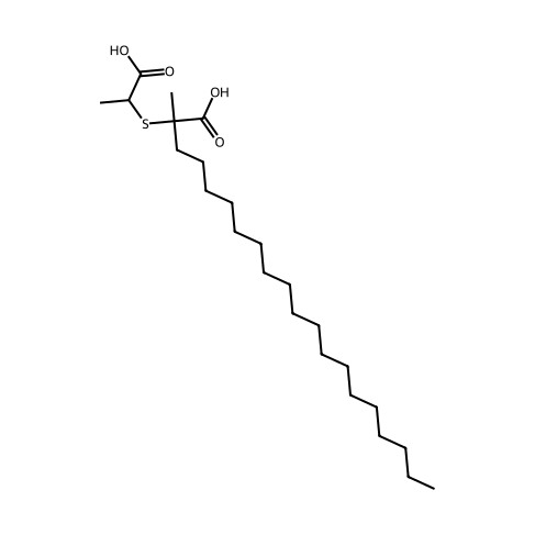 CCCCCCCCCCCCCCCCCCC(C)(SC(C)C(=O)O)C(=O)O